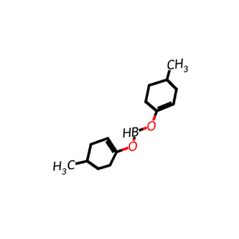 CC1CC=C(OBOC2=CCC(C)CC2)CC1